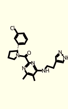 Cc1nc(C(=O)N2CCC[C@@H]2c2cccc(Cl)c2)nc(NCCc2cn[nH]c2)c1C